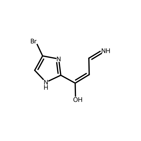 N=C/C=C(/O)c1nc(Br)c[nH]1